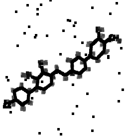 CCC1CCC(C2CCC(CCC3CCC(C4CCC(C)C(F)C4)CC3)C(F)C2F)CC1